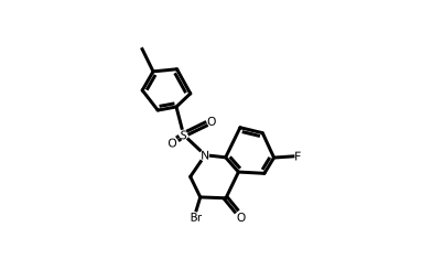 Cc1ccc(S(=O)(=O)N2CC(Br)C(=O)c3cc(F)ccc32)cc1